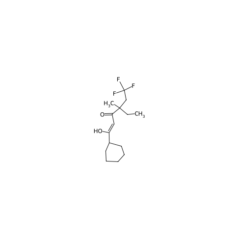 CCC(C)(CC(F)(F)F)C(=O)/C=C(\O)C1CCCCC1